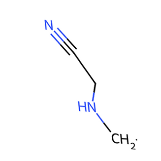 [CH2]NCC#N